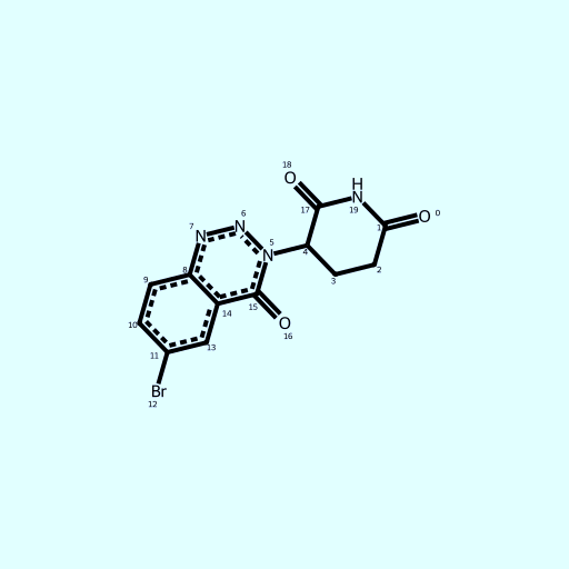 O=C1CCC(n2nnc3ccc(Br)cc3c2=O)C(=O)N1